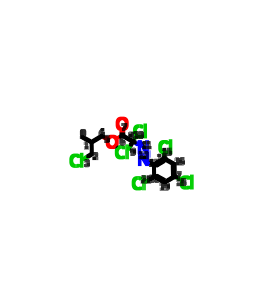 CC(CCl)COC(=O)C(Cl)(Cl)/N=N/c1c(Cl)cc(Cl)cc1Cl